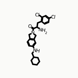 NC(Cc1ccc(Cl)cc1Cl)C(=O)N1Cc2ccc(NCC3CCCCC3)cc2C1